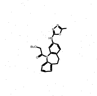 Cc1nnc(Nc2ccc3c(c2)N(C(=O)COCC(C)C)c2ccccc2CC3)o1